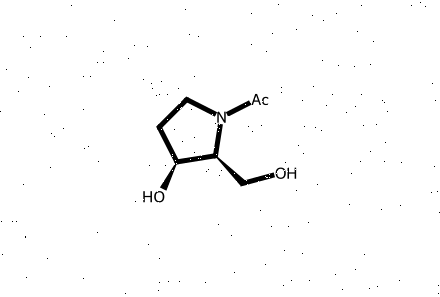 CC(=O)N1CC[C@H](O)[C@@H]1CO